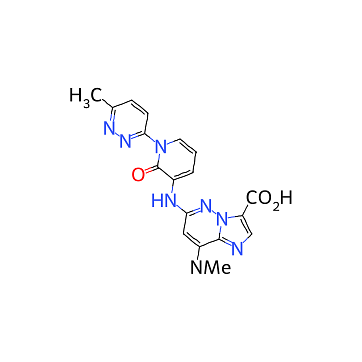 CNc1cc(Nc2cccn(-c3ccc(C)nn3)c2=O)nn2c(C(=O)O)cnc12